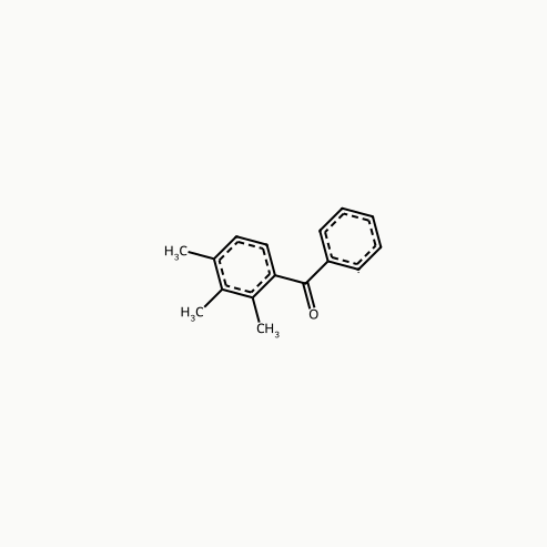 Cc1ccc(C(=O)c2[c]cccc2)c(C)c1C